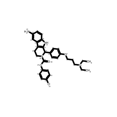 CCN(CC)CCCOc1ccc(C2c3[nH]c4ccc(N)cc4c3CCN2C(=O)Oc2ccc(Cl)cc2)cc1